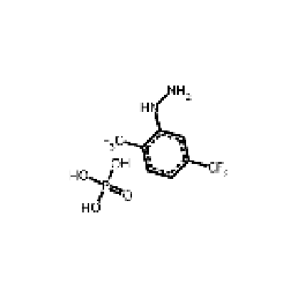 NNc1cc(C(F)(F)F)ccc1C(F)(F)F.O=P(O)(O)O